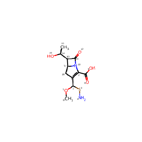 COC(SN)C1=C(C(=O)O)N2C(=O)C(C(C)O)C2C1